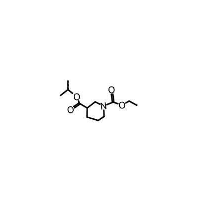 CCOC(=O)N1CCCC(C(=O)OC(C)C)C1